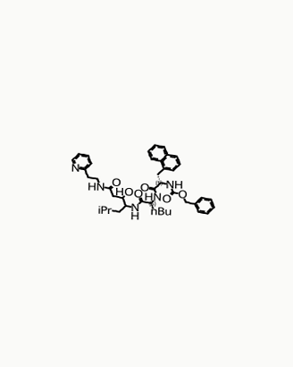 CCCC[C@H](NC(=O)[C@H](Cc1cccc2ccccc12)NC(=O)OCc1ccccc1)C(=O)NC(CC(C)C)C(O)CC(=O)NCCc1ccccn1